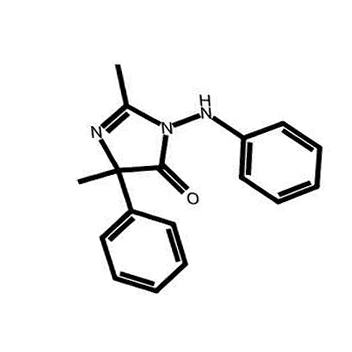 CC1=NC(C)(c2ccccc2)C(=O)N1Nc1ccccc1